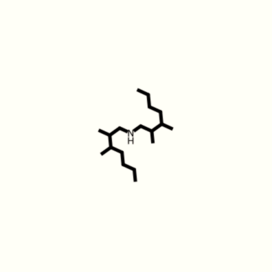 CCCCC(C)C(C)CNCC(C)C(C)CCCC